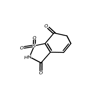 O=C1CC=CC2=C1S(=O)(=O)NC2=O